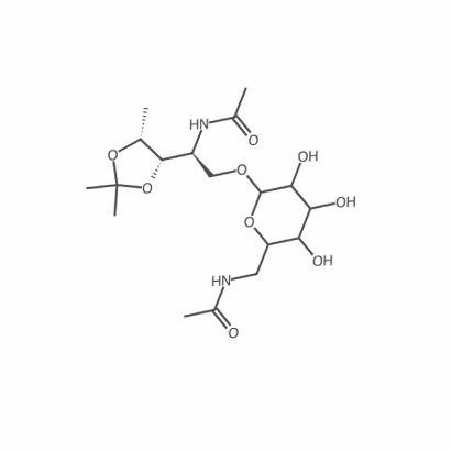 CC(=O)NCC1OC(OC[C@H](NC(C)=O)[C@@H]2OC(C)(C)O[C@@H]2C)C(O)C(O)C1O